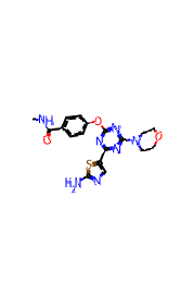 CNC(=O)c1ccc(Oc2nc(-c3cnc(N)s3)nc(N3CCOCC3)n2)cc1